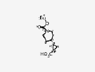 CC(C)(C)OC(=O)N1CCC([C@@H]2C[C@H]2C(=O)O)CC1